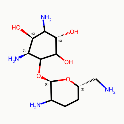 NC[C@@H]1CCC(N)[C@@H](OC2C(O)[C@@H](O)C(N)[C@H](O)[C@@H]2N)O1